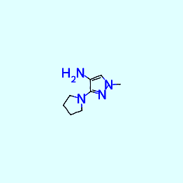 Cn1cc(N)c(N2CCCC2)n1